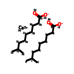 CC(C)CCCCCCC(=O)[O-].CC(C)CCCCCCC(=O)[O-].[Ca+2]